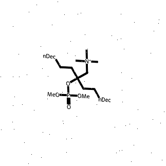 CCCCCCCCCCCCC(CCCCCCCCCCCC)(C[N+](C)(C)C)OP(=O)(OC)OC